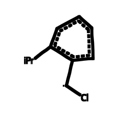 CC(C)c1ccccc1[CH]Cl